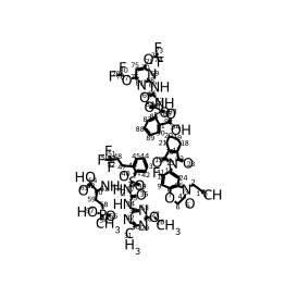 C#CCN1C(=O)COc2cc(F)c(N3C(=O)C4=C(CCCC4)C3=O)cc21.COc1nc(C)nc(NC(=O)NS(=O)(=O)c2ccccc2CCC(F)(F)F)n1.CP(=O)(O)CCC(N)C(=O)O.O=C(Nc1nc(OC(F)F)cc(OC(F)F)n1)NS(=O)(=O)c1ccccc1C(=O)O